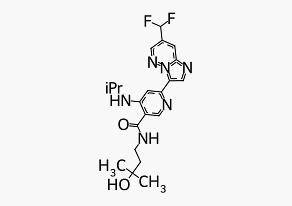 CC(C)Nc1cc(-c2cnc3cc(C(F)F)cnn23)ncc1C(=O)NCCC(C)(C)O